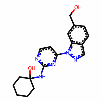 OCc1ccc2cnn(-c3ccnc(NC4(O)CCCCC4)n3)c2c1